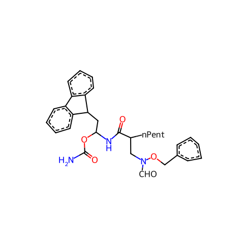 CCCCCC(CN(C=O)OCc1ccccc1)C(=O)NC(CC1c2ccccc2-c2ccccc21)OC(N)=O